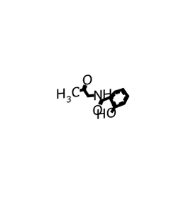 CC(=O)CNC(=O)c1ccccc1O